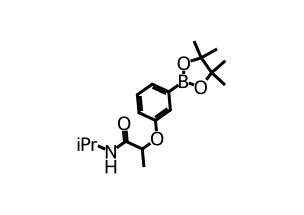 CC(C)NC(=O)C(C)Oc1cccc(B2OC(C)(C)C(C)(C)O2)c1